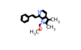 COCn1c(C)c(C)c2ccnc(/C=C/c3ccccc3)c21